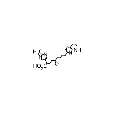 Cc1ncc(C(CCC(=O)CCCCc2ccc3c(n2)NCCC3)C(=O)O)cn1